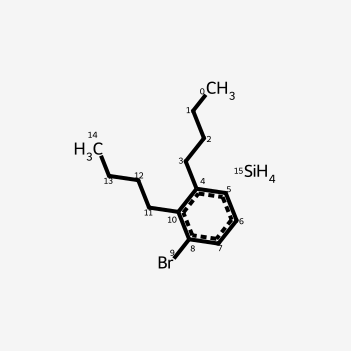 CCCCc1cccc(Br)c1CCCC.[SiH4]